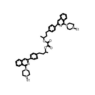 CCN1CCN(c2nc(-c3ccc(CCC(C)OC(=O)C(=O)OC(C)CCc4ccc(-c5cc6ccccc6c(N6CCN(CC)CC6)n5)cc4)cc3)cc3ccccc23)CC1